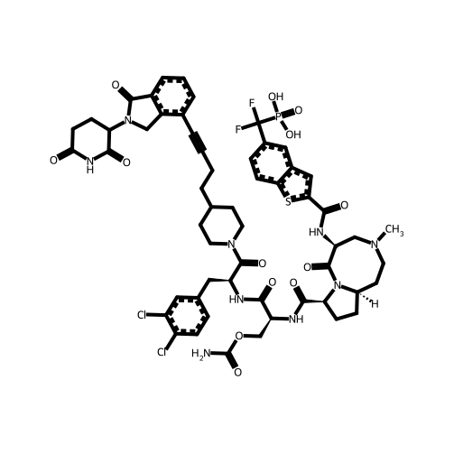 CN1CC[C@H]2CC[C@@H](C(=O)N[C@@H](COC(N)=O)C(=O)N[C@@H](Cc3ccc(Cl)c(Cl)c3)C(=O)N3CCC(CCC#Cc4cccc5c4CN(C4CCC(=O)NC4=O)C5=O)CC3)N2C(=O)[C@@H](NC(=O)c2cc3cc(C(F)(F)P(=O)(O)O)ccc3s2)C1